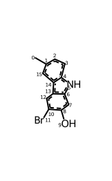 Cc1ccc2[nH]c3cc(O)c(Br)cc3c2c1